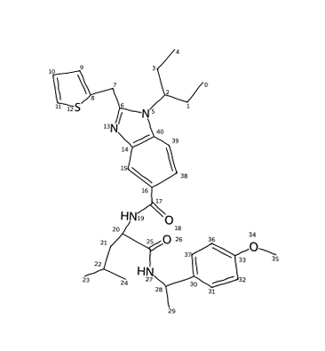 CCC(CC)n1c(Cc2cccs2)nc2cc(C(=O)NC(CC(C)C)C(=O)NC(C)c3ccc(OC)cc3)ccc21